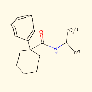 CCCC(NC(=O)C1(c2ccccc2)CCCCC1)C(=O)O